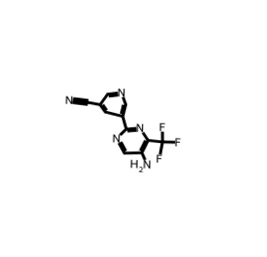 N#Cc1cncc(-c2ncc(N)c(C(F)(F)F)n2)c1